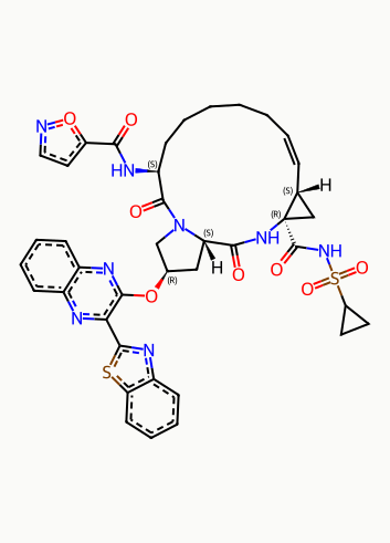 O=C(N[C@H]1CCCCCC=C[C@@H]2C[C@@]2(C(=O)NS(=O)(=O)C2CC2)NC(=O)[C@@H]2C[C@@H](Oc3nc4ccccc4nc3-c3nc4ccccc4s3)CN2C1=O)c1ccno1